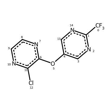 FC(F)(F)c1ncc(Oc2nccnc2Cl)cn1